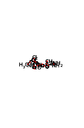 CCCN1C(CCOC(=N)N)CCC[C@H]1c1ccc(-n2cc3cc(-c4cc(CCC[C@H](C)N)cc(Cl)c4F)n(C(=O)c4ccccc4)c3nc2=O)cc1